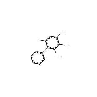 Cc1cc(C(C)(C)C)c(O)c(C(C)(C)C)c1-c1ccccc1